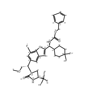 COC[C@H](c1cc(F)c2oc([C@@H](NC(=O)OCc3ccccc3)C3CCC(F)(F)CC3)nc2c1)N1C[C@@H](C(F)(F)F)NC1=O